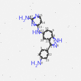 Nc1ccc(-c2n[nH]c3ccc(Nc4ccnc(N)n4)cc23)cc1